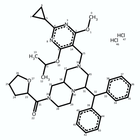 COc1nc(C2CC2)nc(OC(C)C)c1CN1CC2CN(C(=O)C3CCCO3)CCN2C(C(c2ccccc2)c2ccccc2)C1.Cl.Cl